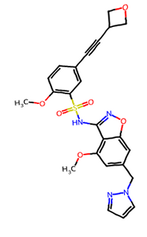 COc1ccc(C#CC2COC2)cc1S(=O)(=O)Nc1noc2cc(Cn3cccn3)cc(OC)c12